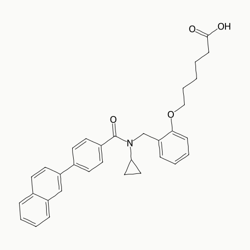 O=C(O)CCCCCOc1ccccc1CN(C(=O)c1ccc(-c2ccc3ccccc3c2)cc1)C1CC1